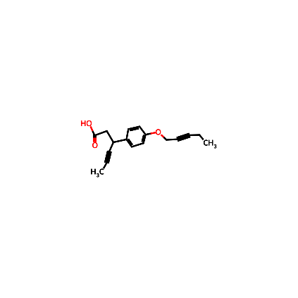 CC#CC(CC(=O)O)c1ccc(OCC#CCC)cc1